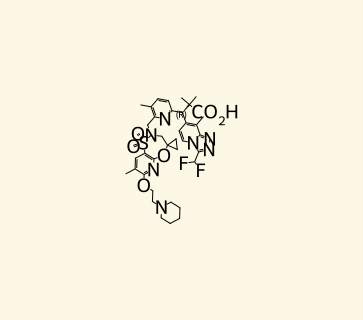 Cc1ccc([C@H](c2ccn3c(C(F)F)nnc3c2C)C(C)(C)C(=O)O)nc1CN1CC2(CC2)Oc2nc(OCCN3CCCCC3)c(C)cc2S1(=O)=O